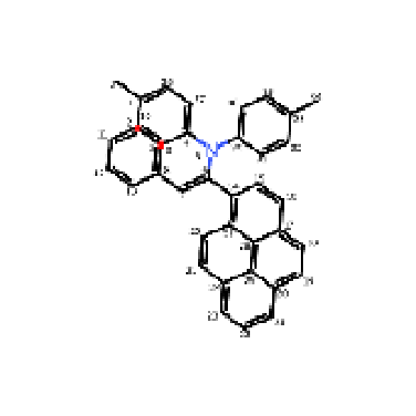 Cc1ccc(N(C(=Cc2ccccc2)c2ccc3ccc4cccc5ccc2c3c45)c2ccc(C)cc2)cc1